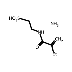 C=C(CC)C(=O)NCCS(=O)(=O)O.N